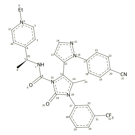 CC[n+]1ccc([C@H](C)NC(=O)n2c(-c3ccnn3-c3ccc(C#N)cc3)c(C)n(-c3cccc(C(F)(F)F)c3)c2=O)cc1